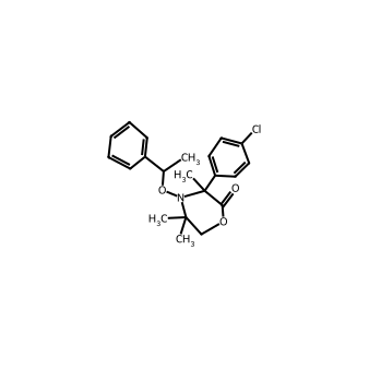 CC(ON1C(C)(C)COC(=O)C1(C)c1ccc(Cl)cc1)c1ccccc1